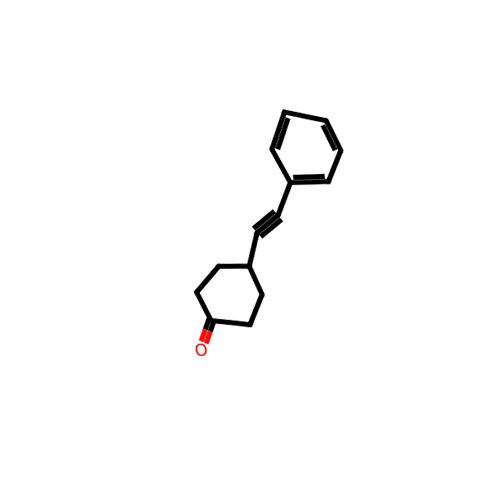 O=C1CCC(C#Cc2ccccc2)CC1